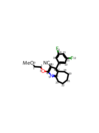 COCCOc1nc2c(c(-c3cc(F)cc(F)c3)c1C#N)CCCCC2